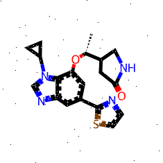 C[C@@H](Oc1cc(-c2nccs2)cc2ncn(C3CC3)c12)C1CNC(=O)C1